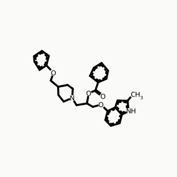 Cc1cc2c(OCC(CN3CCC(COc4ccccc4)CC3)OC(=O)c3ccccc3)cccc2[nH]1